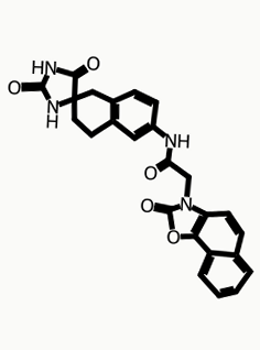 O=C(Cn1c(=O)oc2c3ccccc3ccc21)Nc1ccc2c(c1)CCC1(C2)NC(=O)NC1=O